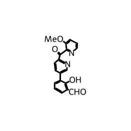 COc1cccnc1C(=O)c1ccc(-c2cccc(C=O)c2O)cn1